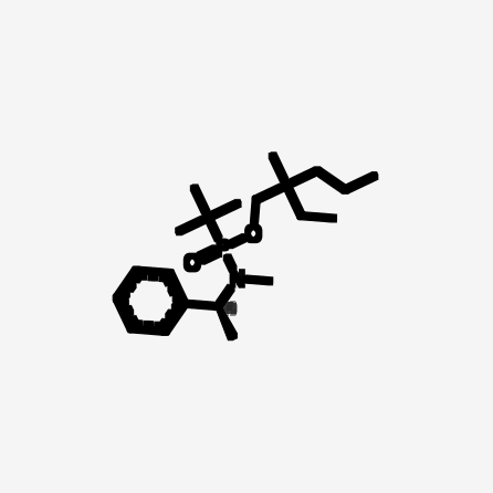 CCCC(C)(CC)COP(=O)(N(C)[C@@H](C)c1ccccc1)C(C)(C)C